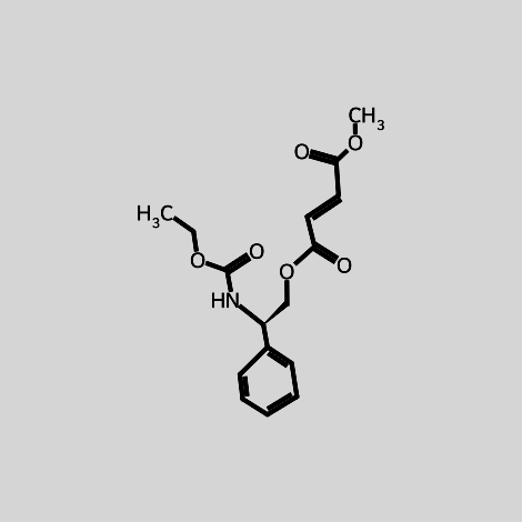 CCOC(=O)N[C@@H](COC(=O)/C=C/C(=O)OC)c1ccccc1